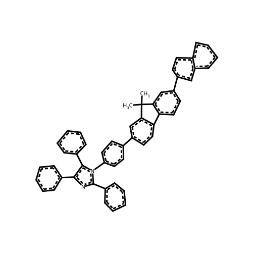 CC1(C)c2cc(-c3ccc(-n4c(-c5ccccc5)nc(-c5ccccc5)c4-c4ccccc4)cc3)ccc2-c2ccc(-c3ccc4ccccc4c3)cc21